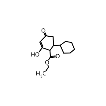 CCOC(=O)C1C(O)=CC(=O)CC1C1CCCCC1